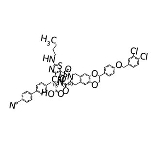 CCCCNc1nc(C)c(S(=O)(=O)N2Cc3cc4c(cc3C[C@H]2C(=O)N[C@@H](Cc2ccc(-c3ccc(C#N)cc3)cc2)C(=O)O)OCC(c2ccc(OCc3ccc(Cl)c(Cl)c3)cc2)O4)s1